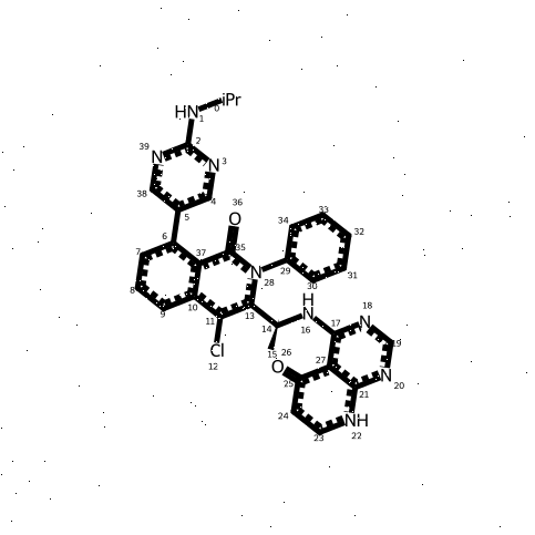 CC(C)Nc1ncc(-c2cccc3c(Cl)c([C@H](C)Nc4ncnc5[nH]ccc(=O)c45)n(-c4ccccc4)c(=O)c23)cn1